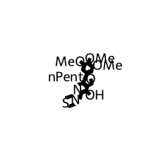 CCCCCC1(c2cc(OC)c(OC)c(OC)c2)OCc2c1cnc(CN1CCSCC1)c2O